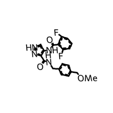 COCc1ccc(CNC(=O)c2n[nH]cc2NC(=O)c2c(F)cccc2F)cc1